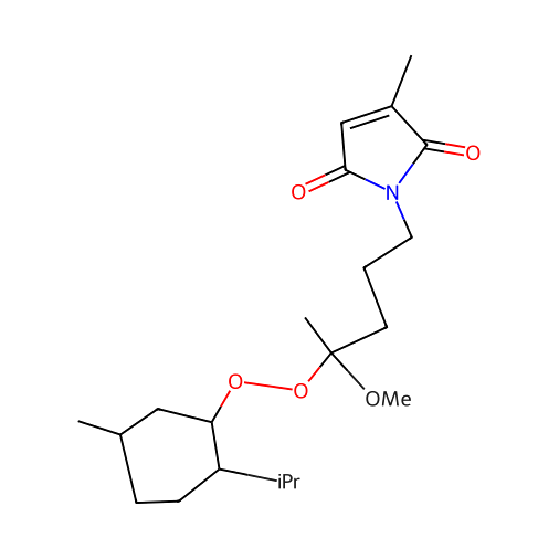 COC(C)(CCCN1C(=O)C=C(C)C1=O)OOC1CC(C)CCC1C(C)C